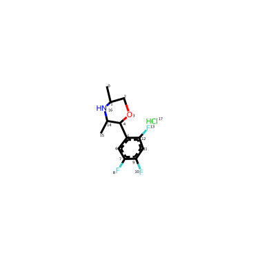 CC1COC(c2cc(F)c(F)cc2F)C(C)N1.Cl